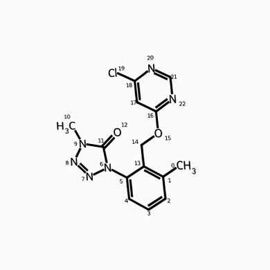 Cc1cccc(-n2nnn(C)c2=O)c1COc1cc(Cl)ncn1